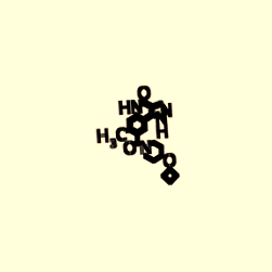 Cc1cc2[nH]c(=O)c3cn[nH]c3c2cc1C(=O)N1CCC(OC2CCC2)CC1